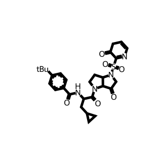 CC(C)(C)c1ccc(C(=O)NC(CC2CC2)C(=O)N2CCC3C2C(=O)CN3S(=O)(=O)C2=NC=CCC2=O)cc1